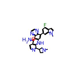 CN1CCC(c2nccc(C(N)=O)c2Nc2cc(-c3cc(F)c4ccn(C)c4c3)c3nccnc3c2)C1